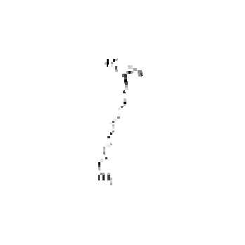 [CH2]CCCCCCCCCCCCC(C)CC